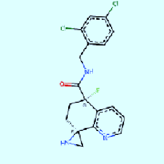 O=C(NCc1ccc(Cl)cc1Cl)[C@]1(F)CC[C@@]2(CN2)c2ncccc21